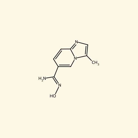 Cc1cnc2ccc(C(N)=NO)cn12